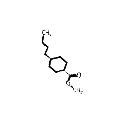 CCCC[C@H]1CC[C@H](C(=O)OC)CC1